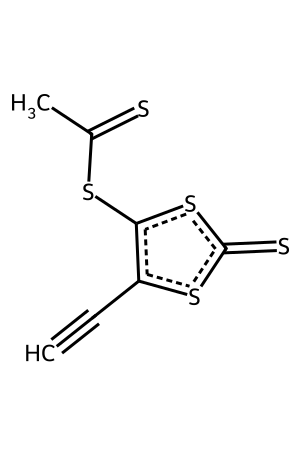 C#Cc1sc(=S)sc1SC(C)=S